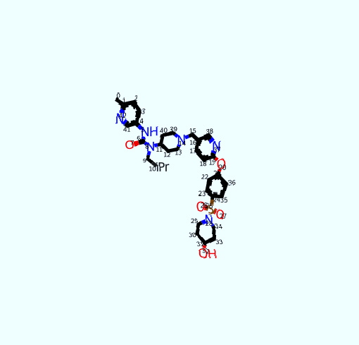 Cc1ccc(NC(=O)N(CC(C)C)C2CCN(Cc3ccc(Oc4ccc(S(=O)(=O)N5CCC(O)CC5)cc4)nc3)CC2)cn1